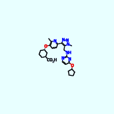 Cc1nc(-c2nnn(C)c2CNc2nccc(OC3CCCC3)n2)ccc1O[C@H]1CCC[C@H](C(=O)O)C1